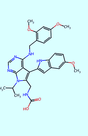 COc1ccc(CNc2ncnc3c2c(-c2cc4cc(OC)ccc4[nH]2)c(CNC(=O)O)n3C(C)C)c(OC)c1